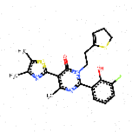 Cc1nc(-c2c(C)nc(-c3cccc(F)c3O)n(CCC3=CCCS3)c2=O)sc1C